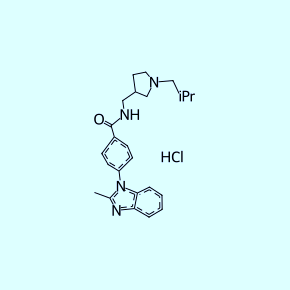 Cc1nc2ccccc2n1-c1ccc(C(=O)NCC2CCN(CC(C)C)C2)cc1.Cl